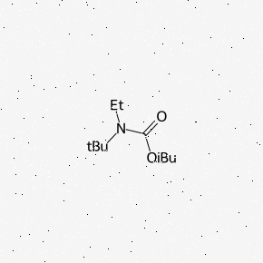 CCN(C(=O)OCC(C)C)C(C)(C)C